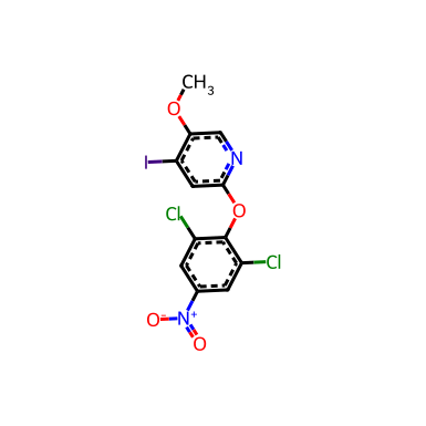 COc1cnc(Oc2c(Cl)cc([N+](=O)[O-])cc2Cl)cc1I